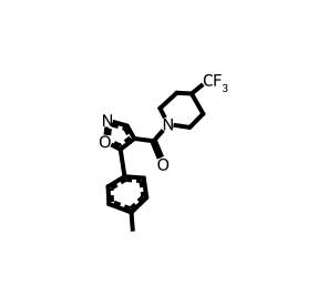 Cc1ccc(-c2oncc2C(=O)N2CCC(C(F)(F)F)CC2)cc1